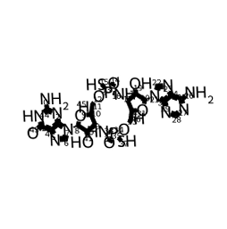 Nc1nc2c(ncn2[C@@H]2O[C@@H]3COP(=O)(S)NC4C(O)[C@H](n5cnc6c(N)ncnc65)O[C@@H]4COP(=O)(S)NC3C2O)c(=O)[nH]1